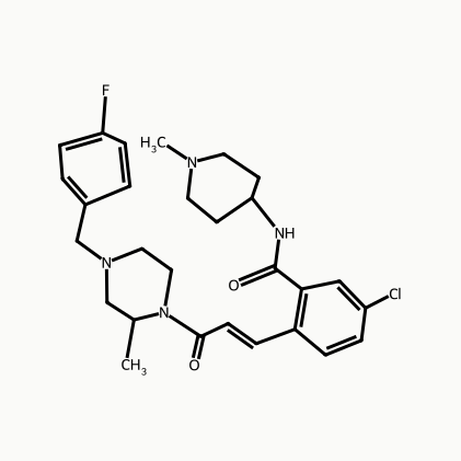 CC1CN(Cc2ccc(F)cc2)CCN1C(=O)C=Cc1ccc(Cl)cc1C(=O)NC1CCN(C)CC1